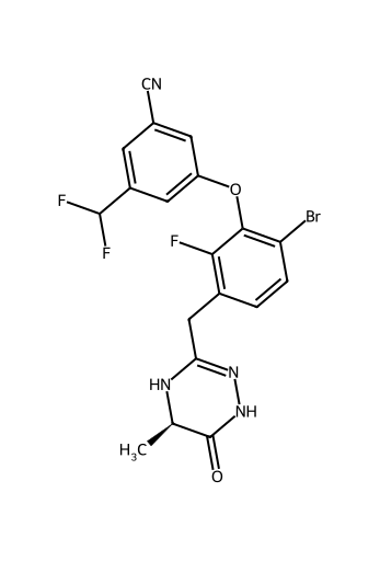 C[C@H]1NC(Cc2ccc(Br)c(Oc3cc(C#N)cc(C(F)F)c3)c2F)=NNC1=O